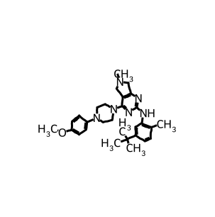 COc1ccc(N2CCN(c3nc(Nc4cc(C(C)(C)C)ccc4C)nc4c3CN(C)C4)CC2)cc1